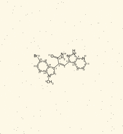 Cn1cc(C(=Cc2n[nH]c3ncccc23)C(N)=O)c2cc(Br)ccc21